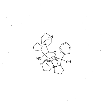 OC(c1ccccc1)(C1CCCC1)C(OC(C1CN2CCC1CC2)C(O)(c1ccccc1)C1CCCC1)C1CN2CCC1CC2